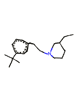 CCC1CCCN(CCc2cccc(C(C)(C)C)c2)C1